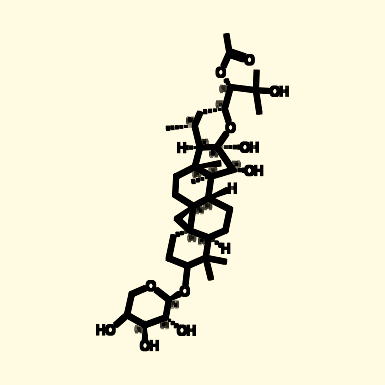 CC(=O)O[C@@H]([C@H]1C[C@@H](C)[C@H]2[C@@](O)(O1)[C@H](O)[C@@]1(C)[C@@H]3CC[C@H]4C(C)(C)C(O[C@@H]5OCC(O)[C@H](O)[C@H]5O)CC[C@@]45C[C@@]35CC[C@]21C)C(C)(C)O